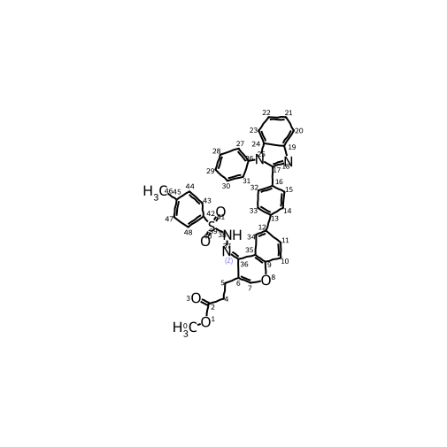 COC(=O)CCc1coc2ccc(-c3ccc(-c4nc5ccccc5n4-c4ccccc4)cc3)cc2/c1=N\NS(=O)(=O)c1ccc(C)cc1